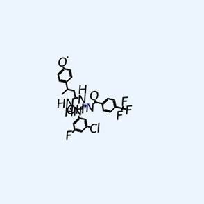 COc1ccc(C(C)CC(NO)N/C(=N\C(=O)c2ccc(C(F)(F)F)cc2)Nc2cc(F)cc(Cl)c2)cc1